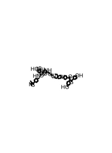 Cc1ncsc1-c1ccc(CNC(=O)[C@@H]2C[C@@H](O)CN2C(=O)C(NC(=O)COCCN2CCC3(CC2)CCN(c2ccc(C(=O)c4c(-c5ccc(O)cc5)sc5cc(O)ccc45)cc2)CC3)C(C)(C)C)cc1